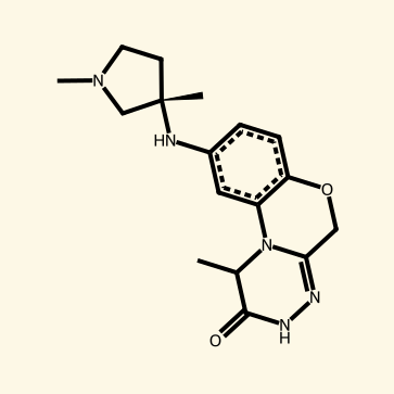 CC1C(=O)NN=C2COc3ccc(N[C@@]4(C)CCN(C)C4)cc3N21